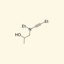 CCC#CN(CC)CC(C)O